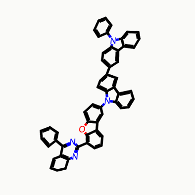 C1=Cc2c(nc(-c3cccc4c3oc3ccc(-n5c6ccccc6c6cc(-c7ccc8c(c7)c7ccccc7n8-c7ccccc7)ccc65)cc34)nc2-c2ccccc2)CC1